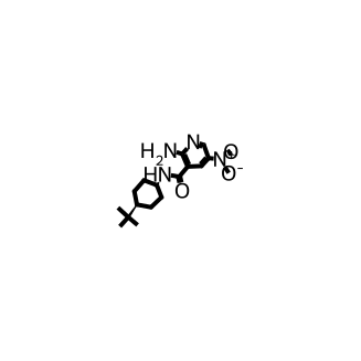 CC(C)(C)[C@H]1CC[C@H](NC(=O)c2cc([N+](=O)[O-])cnc2N)CC1